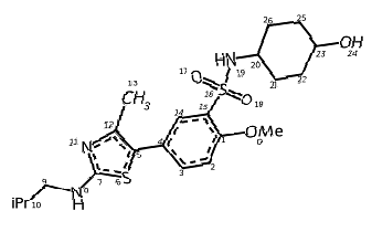 COc1ccc(-c2sc(NCC(C)C)nc2C)cc1S(=O)(=O)NC1CCC(O)CC1